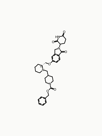 O=C1CCC(N2Cc3cc(OC[C@H]4CCCCN4CC4CCN(C(=O)OCc5ccccc5)CC4)ccc3C2=O)C(=O)N1